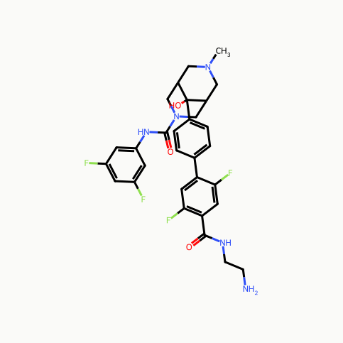 CN1CC2CN(C(=O)Nc3cc(F)cc(F)c3)CC(C1)C2(O)c1ccc(-c2cc(F)c(C(=O)NCCN)cc2F)cc1